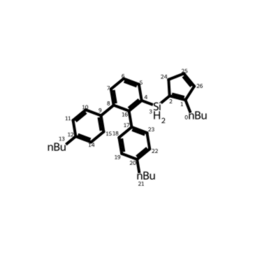 CCCCC1=C([SiH2]c2cccc(-c3ccc(CCCC)cc3)c2-c2ccc(CCCC)cc2)CC=C1